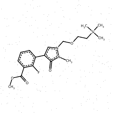 COC(=O)c1cccc(-c2cn(COCC[Si](C)(C)C)n(C)c2=O)c1F